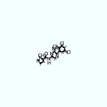 Cn1nccc1C(=O)Nc1cnc(-c2cc(Cl)cc(Cl)c2Cl)c(N)n1